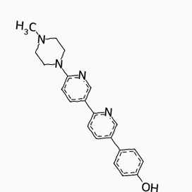 CN1CCN(c2ccc(-c3ccc(-c4ccc(O)cc4)cn3)cn2)CC1